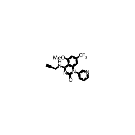 C#CCNc1nc(=O)n(-c2cccnc2)c2cc(C(F)(F)F)cc(OC)c12